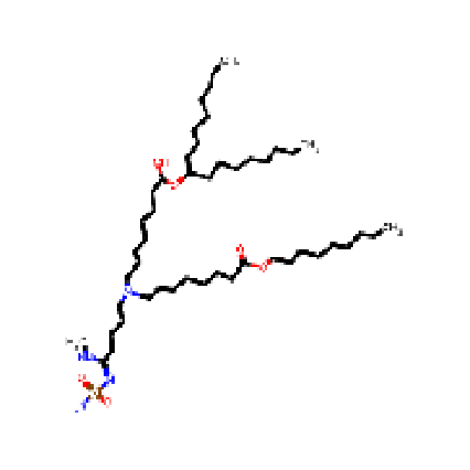 CCCCCCCCCOC(=O)CCCCCCCN(CCCCCCCC(O)OC(CCCCCCCC)CCCCCCCC)CCCC/C(=N/S(N)(=O)=O)NC